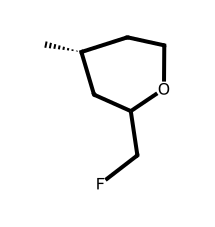 C[C@@H]1CCOC(CF)C1